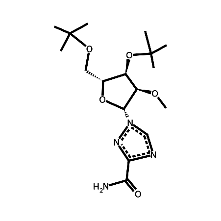 CO[C@@H]1[C@H](OC(C)(C)C)[C@@H](COC(C)(C)C)O[C@H]1n1cnc(C(N)=O)n1